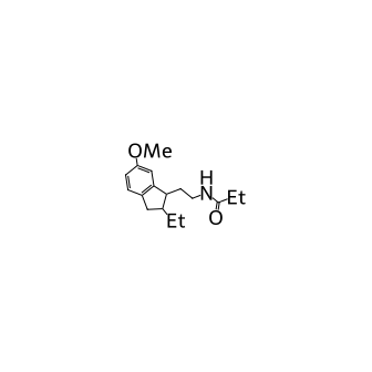 CCC(=O)NCCC1c2cc(OC)ccc2CC1CC